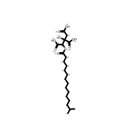 CC(C)CCCCCCCCCCCCC(=O)OC(C(=O)O)C(O)(CC(=O)O)C(=O)O